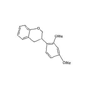 COc1ccc(C2COc3ccccc3C2)c(OC)c1